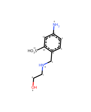 Nc1ccc(CNCCO)c(S(=O)(=O)O)c1